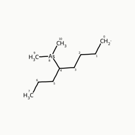 [CH2]CCCC(CCC)[As](C)C